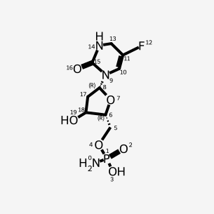 NP(=O)(O)OC[C@H]1O[C@@H](N2C=C(F)CNC2=O)CC1O